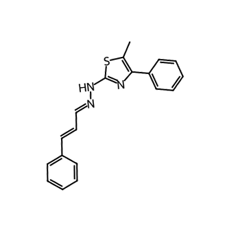 Cc1sc(NN=CC=Cc2ccccc2)nc1-c1ccccc1